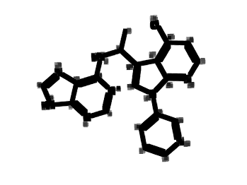 CC(Nc1ncnc2[nH]cnc12)c1cn(-c2cccnc2)c2nccc(Cl)c12